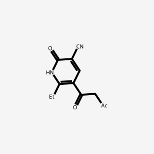 CCc1[nH]c(=O)c(C#N)cc1C(=O)CC(C)=O